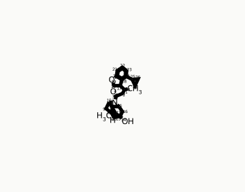 CC(CC(=O)N1C2CC3CC1[C@H](C)C(O)(C3)C2)C1COc2cccc(C3CC3)c21